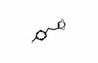 Ic1ccc(CCC2=COCO2)cc1